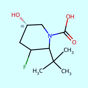 CC(C)(C)C1C(F)C[C@H](O)CN1C(=O)O